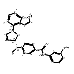 COc1cccc(NC(=O)c2ccc(N(C)[C@@H]3CCN(c4ncnc5[nH]ccc45)C3)nc2)c1